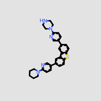 c1cc(N2CCCCC2)ncc1-c1ccc2sc3ccc(-c4ccc(N5CCNCC5)nc4)cc3c2c1